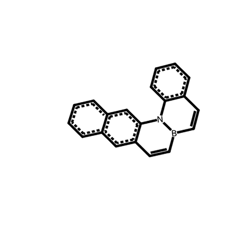 C1=Cc2ccccc2N2B1C=Cc1cc3ccccc3cc12